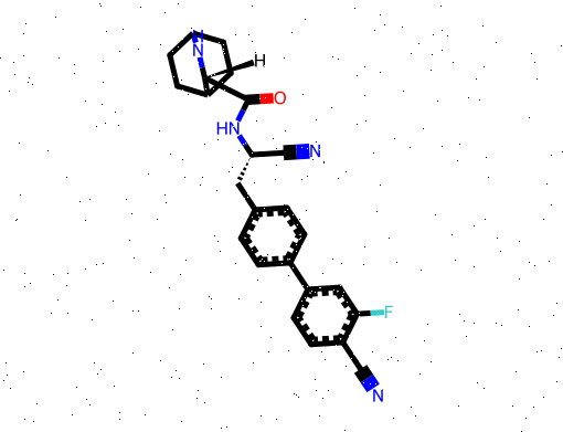 N#Cc1ccc(-c2ccc(C[C@@H](C#N)NC(=O)[C@H]3NC4CCC3CC4)cc2)cc1F